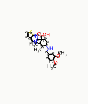 COc1ccc(CNC2CCC(C(=O)O)(c3ncc4ccsc4n3)C(C)C2C)cc1OC